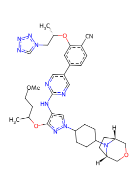 COCCC(C)Oc1nn(C2CCC(N3[C@@H]4CC[C@H]3COC4)CC2)cc1Nc1ncc(-c2ccc(C#N)c(O[C@@H](C)Cn3cnnn3)c2)cn1